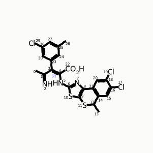 CC(=N)/C(=C(\Nc1nc2c(s1)SC(C)c1cc(Cl)c(Cl)cc1-2)C(=O)O)c1cc(C)cc(Cl)c1